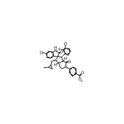 COC(=O)c1ccc(N2CC[C@H]3[C@@H](C2=O)[C@H](c2cccc(Cl)c2F)[C@]2(C(=O)Nc4cc(Cl)ccc42)N3CC2CC2C)cc1